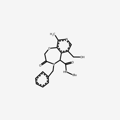 Cc1ncc(CO)c2c1OCC(=O)N(Cc1ccccc1)C2C(=O)NC(C)(C)C